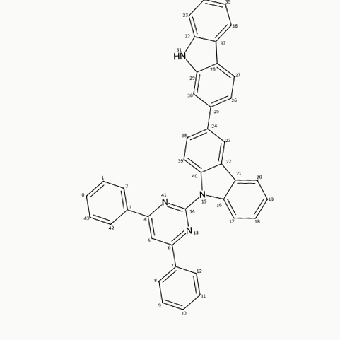 c1ccc(-c2cc(-c3ccccc3)nc(-n3c4ccccc4c4cc(-c5ccc6c(c5)[nH]c5ccccc56)ccc43)n2)cc1